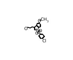 COc1ccc2c(c1)c(CCC=O)cn2S(=O)(=O)c1ccc(Cl)cc1